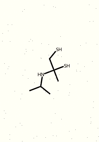 CC(C)NC(C)(S)CS